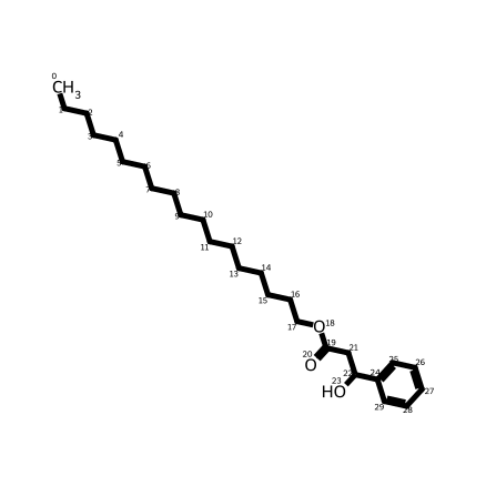 CCCCCCCCCCCCCCCCCCOC(=O)CC(O)c1ccccc1